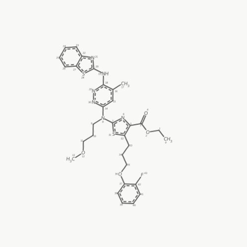 CCOC(=O)c1nc(N(CCCOC)c2cc(C)c(Nc3nc4ccccc4s3)nn2)sc1CCCOc1ccccc1F